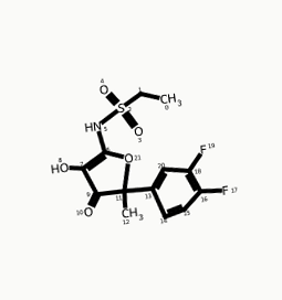 CCS(=O)(=O)NC1=C(O)C(=O)C(C)(c2ccc(F)c(F)c2)O1